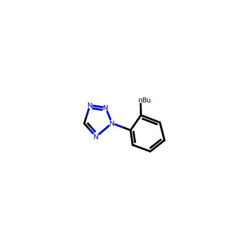 [CH2]CCCc1ccccc1-n1ncnn1